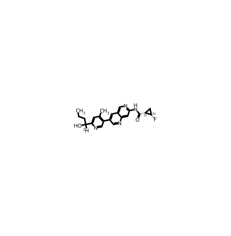 [2H]C(O)(CCC)c1cc(C)c(-c2cnc3cc(NC(=O)[C@@H]4C[C@@H]4F)ncc3c2)cn1